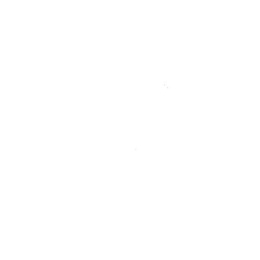 O=C1c2ccccc2C(=O)c2cc(C3CNCCO3)ccc21